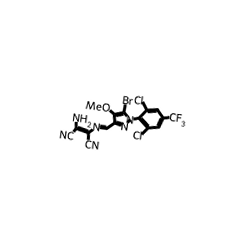 COc1c(/C=N/C(C#N)=C(\N)C#N)nn(-c2c(Cl)cc(C(F)(F)F)cc2Cl)c1Br